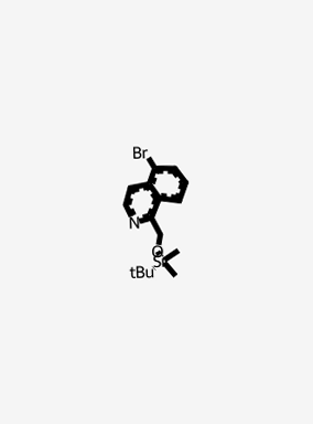 CC(C)(C)[Si](C)(C)OCc1nccc2c(Br)cccc12